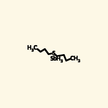 CCCCSCCCC.[SbH3]